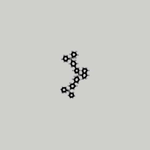 c1ccc(N(c2ccccc2)c2ccc(-c3ccc(N(c4ccc(-c5ccc(N(c6ccccc6)c6ccccc6)cc5)cc4)c4cccc5ccccc45)cc3)cc2)cc1